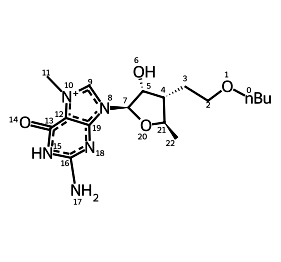 CCCCOCC[C@H]1[C@@H](O)[C@H](n2c[n+](C)c3c(=O)[nH]c(N)nc32)O[C@@H]1C